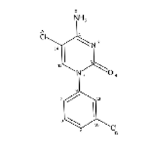 Nc1nc(=O)n(-c2cccc(Cl)c2)cc1Cl